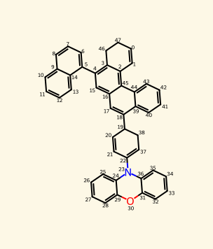 C1=Cc2c(c(-c3cccc4ccccc34)cc3cc(C4C=CC(N5c6ccccc6Oc6ccccc65)=CC4)c4ccccc4c23)CC1